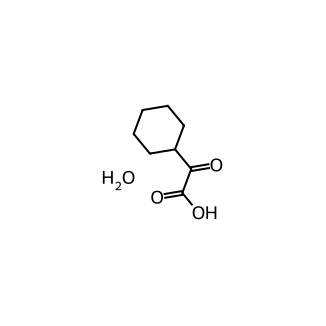 O.O=C(O)C(=O)C1CCCCC1